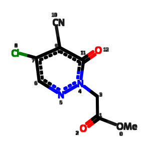 COC(=O)Cn1ncc(Cl)c(C#N)c1=O